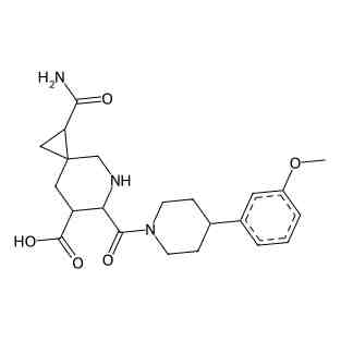 COc1cccc(C2CCN(C(=O)C3NCC4(CC3C(=O)O)CC4C(N)=O)CC2)c1